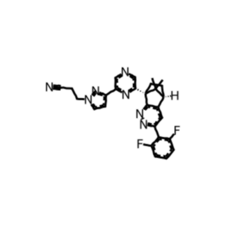 CC1(C)[C@H]2CC[C@]1(c1cncc(-c3ccn(CCC#N)n3)n1)c1nnc(-c3c(F)cccc3F)cc12